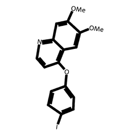 COc1cc2nccc(Oc3ccc(I)cc3)c2cc1OC